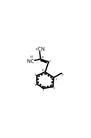 Cc1c[c]ccc1C=C(C#N)C#N